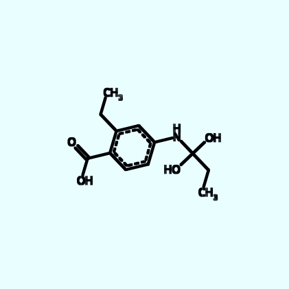 CCc1cc(NC(O)(O)CC)ccc1C(=O)O